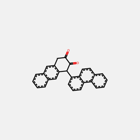 O=C1[C]c2cc3ccccc3cc2C(c2cccc3c2ccc2ccccc23)C1=O